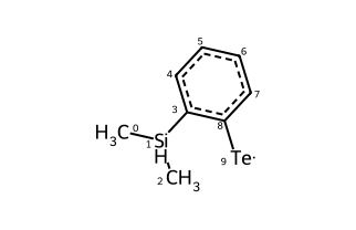 C[SiH](C)c1ccccc1[Te]